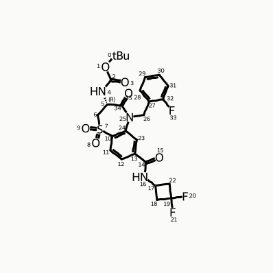 CC(C)(C)OC(=O)N[C@H]1CS(=O)(=O)c2ccc(C(=O)NC3CC(F)(F)C3)cc2N(Cc2ccccc2F)C1=O